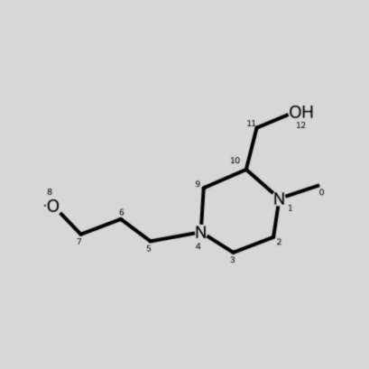 CN1CCN(CCC[O])CC1CO